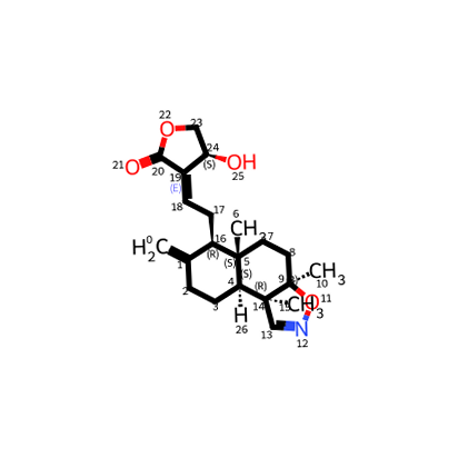 C=C1CC[C@H]2[C@@](C)(CC[C@@]3(C)ON=C[C@@]23C)[C@@H]1C/C=C1/C(=O)OC[C@H]1O